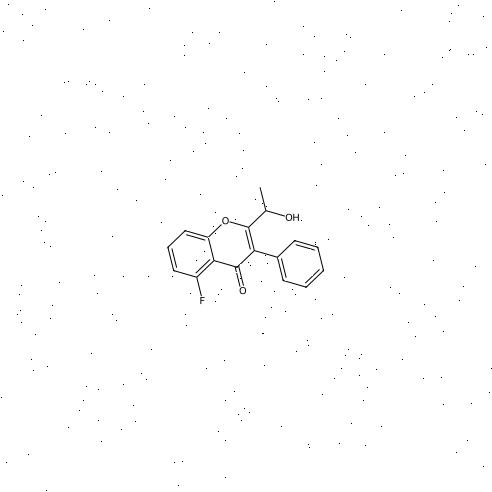 CC(O)c1oc2cccc(F)c2c(=O)c1-c1ccccc1